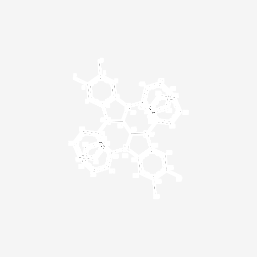 Cc1cc2c(cc1C)N(c1ccccc1)C(C1N(c3ccccc3)c3cc(C)c(C)cc3N1c1ccccc1)N2c1ccccc1